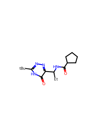 CCC(NC(=O)C1CCCC1)c1nnc(C(C)(C)C)[nH]c1=O